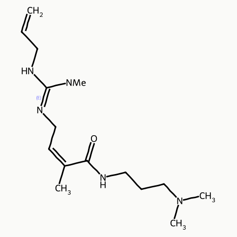 C=CCN/C(=N/CC=C(C)C(=O)NCCCN(C)C)NC